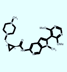 COc1ncnc(OC)c1-c1cc2cc(NC(=O)[C@H]3C[C@@H]3CN3CCN(C)CC3)ncc2n1C